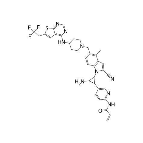 C=CC(=O)Nc1ccc(C2C(N)C2n2c(C#N)cc3c(C)c(CN4CCC(Nc5ncnc6sc(CC(F)(F)F)cc56)CC4)ccc32)cn1